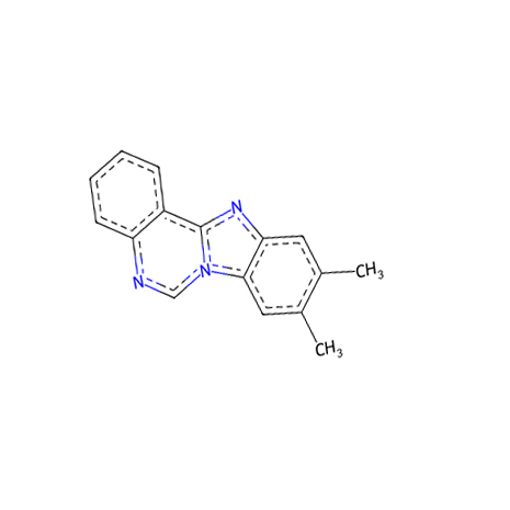 Cc1cc2nc3c4ccccc4ncn3c2cc1C